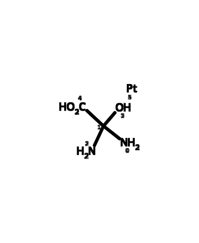 NC(N)(O)C(=O)O.[Pt]